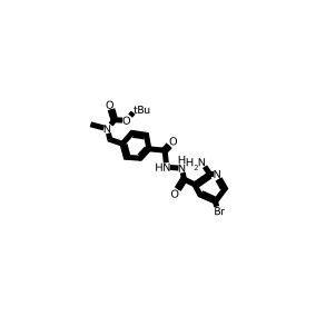 CN(Cc1ccc(C(=O)NNC(=O)c2cc(Br)cnc2N)cc1)C(=O)OC(C)(C)C